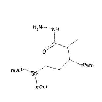 CCCCCCC[CH2][Sn]([CH2]CCCCCCC)[CH2]CC(CCCCC)C(C)C(=O)NN